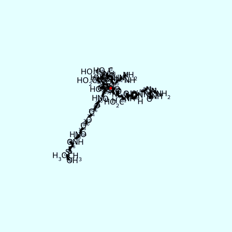 CC(C)(CO)SSCCC(=O)NCCNC(=O)CCOCCOCCOCCOCCNC(=O)CCN1C(=O)CC(SC[C@H](NC(=O)[C@H](CC(=O)O)NC(=O)[C@H](CC(=O)O)NC(=O)[C@H](CCCNC(=N)N)NC(=O)[C@H](CC(=O)O)NC(=O)CC[C@H](NC(=O)c2ccc(NCc3cnc4nc(N)[nH]c(=O)c4n3)cc2)C(=O)O)C(=O)O)C1=O